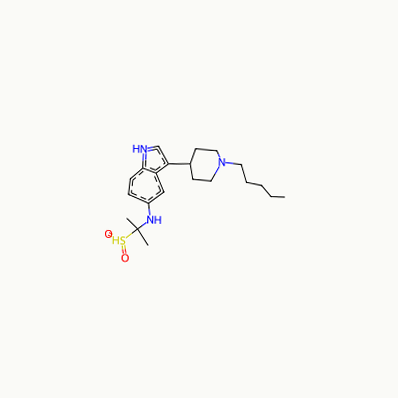 CCCCCN1CCC(c2c[nH]c3ccc(NC(C)(C)[SH](=O)=O)cc23)CC1